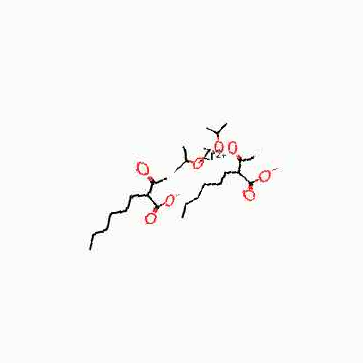 CC(C)[O][Zr+2][O]C(C)C.CCCCCCC(C(C)=O)C(=O)[O-].CCCCCCC(C(C)=O)C(=O)[O-]